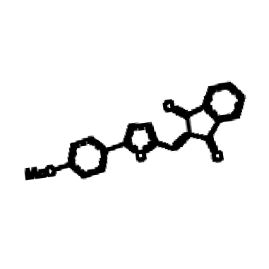 COc1ccc(-c2ccc(C=C3C(=O)c4ccccc4C3=O)o2)cc1